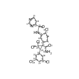 NC(=O)C1(c2ccc(Cl)c(NC(=O)c3ccncn3)c2)C(c2cc(Cl)cc(Cl)c2)C1(Cl)Cl